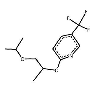 CC(C)OCC(C)Oc1ccc(C(F)(F)F)cn1